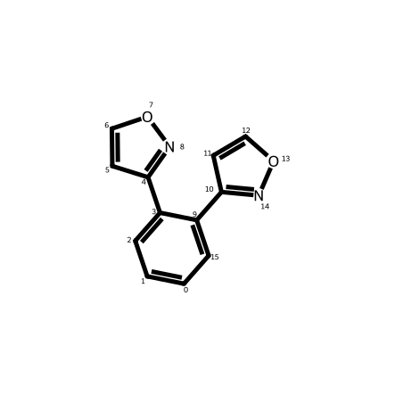 c1ccc(-c2ccon2)c(-c2ccon2)c1